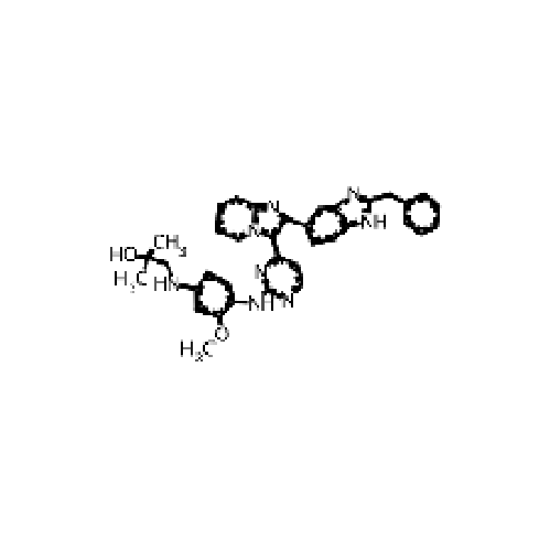 COc1cc(NCC(C)(C)O)ccc1Nc1nccc(-c2c(-c3ccc4[nH]c(Cc5ccccc5)nc4c3)nc3ccccn23)n1